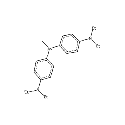 CCN(CC)c1ccc([As](C)c2ccc(N(CC)CC)cc2)cc1